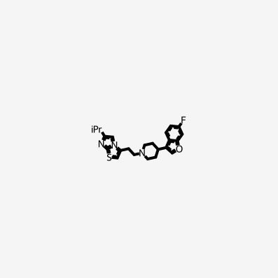 CC(C)c1cn2c(CCN3CCC(c4coc5cc(F)ccc45)CC3)csc2n1